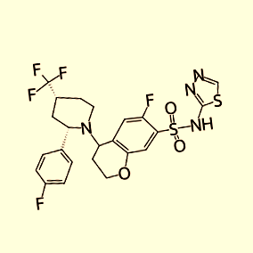 O=S(=O)(Nc1nncs1)c1cc2c(cc1F)C(N1CC[C@@H](C(F)(F)F)C[C@H]1c1ccc(F)cc1)CCO2